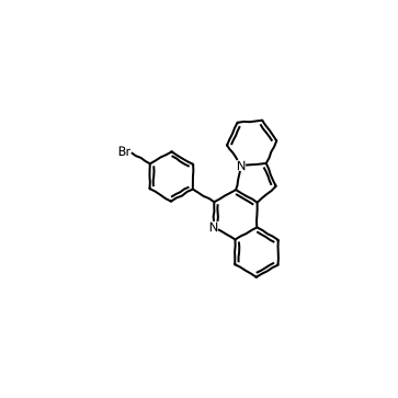 Brc1ccc(-c2nc3ccccc3c3cc4ccccn4c23)cc1